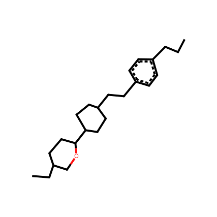 CCCc1ccc(CCC2CCC(C3CCC(CC)CO3)CC2)cc1